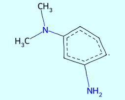 CN(C)c1cc[c]c(N)c1